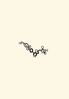 CCCN1CCN(S(=O)(=O)c2ccc(-c3cncc4cc(/C=C5\SC(=O)NC5=O)oc34)cc2)CC1